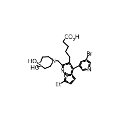 CCc1ccc2c(-c3cncc(Br)c3)c(CCCCC(=O)O)c(CN3CCS(O)(O)CC3)nn12